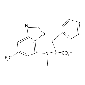 CN(c1cc(C(F)(F)F)cc2ncoc12)[C@@H](Cc1ccccc1)C(=O)O